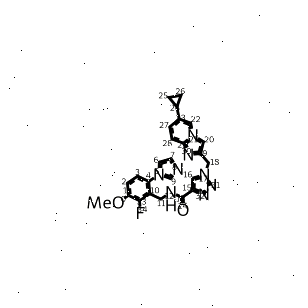 COc1ccc(-n2ccnc2)c(CNC(=O)c2cn(Cc3cn4cc(C5CC5)ccc4n3)nn2)c1F